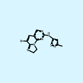 Cc1cc(Nc2ncc3c(n2)N2CCN=C2C(Br)=C3)sn1